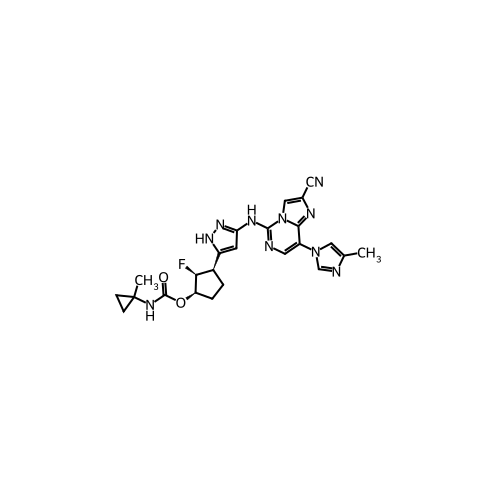 Cc1cn(-c2cnc(Nc3cc([C@H]4CC[C@@H](OC(=O)NC5(C)CC5)[C@H]4F)[nH]n3)n3cc(C#N)nc23)cn1